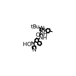 Cc1ccc(-n2nc(C(C)(C)C)cc2NC(=O)Nc2ccc(N(CO)c3ccncc3)c3ccccc23)cc1